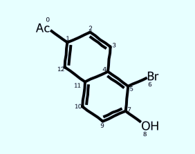 CC(=O)c1ccc2c(Br)c(O)ccc2c1